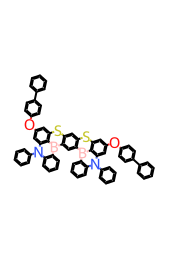 c1ccc(-c2ccc(Oc3cc4c5c(c3)N(c3ccccc3)c3ccccc3B5c3cc5c(cc3S4)Sc3cc(Oc4ccc(-c6ccccc6)cc4)cc4c3B5c3ccccc3N4c3ccccc3)cc2)cc1